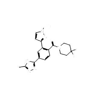 Cc1nnc(-c2ccc(C(=O)N3CCC(F)(F)CC3)c(-c3ccn(C(C)(C)C)n3)c2)[nH]1